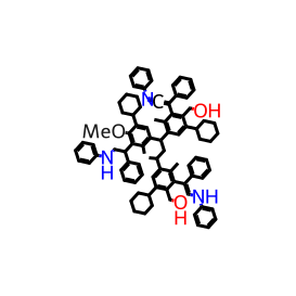 COc1c(C2CCCCC2)cc(C(CC(C)c2cc(C3CCCCC3)c(CO)c(C(=CNc3ccccc3)c3ccccc3)c2C)c2cc(C3CCCCC3)c(CO)c(C(=C=Nc3ccccc3)c3ccccc3)c2C)c(C)c1C(CNc1ccccc1)c1ccccc1